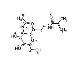 C=C(C)C(=O)NCCOC1OC(CO)C(O)C(O)C1NC(C)=O